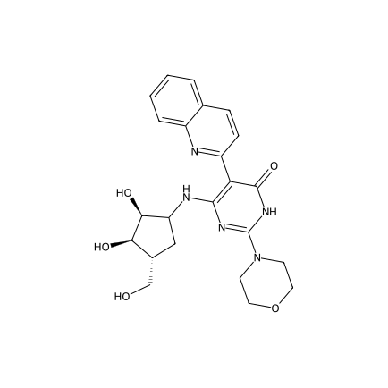 O=c1[nH]c(N2CCOCC2)nc(NC2C[C@H](CO)[C@@H](O)[C@H]2O)c1-c1ccc2ccccc2n1